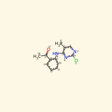 Bc1cnc(Cl)nc1Nc1ccccc1C(C)=O